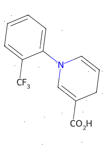 O=C(O)C1=CN(c2ccccc2C(F)(F)F)C=CC1